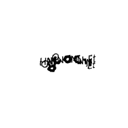 CCN(CC)CCN1CCN(c2ccc(NC=C3C(=O)NC(=O)c4ccccc43)cc2)CC1